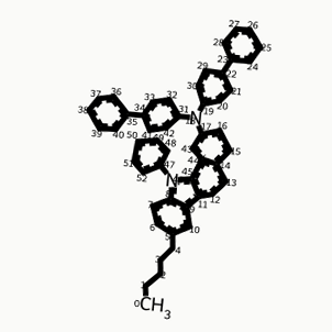 CCCCCc1ccc2c(c1)c1ccc3ccc(N(c4ccc(-c5ccccc5)cc4)c4ccc(-c5ccccc5)cc4)cc3c1n2-c1ccccc1